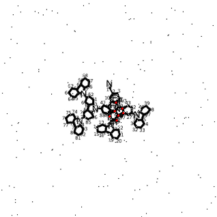 N#Cc1ccc(-n2c3ccc(-n4c5ccccc5c5ccccc54)cc3c3cc(-n4c5ccccc5c5ccccc54)ccc32)c(-c2cc(-n3c4ccc(-n5c6ccccc6c6ccccc65)cc4c4cc(-n5c6ccccc6c6ccccc65)ccc43)ccc2-c2c(C(F)(F)F)cccc2C(F)(F)F)c1